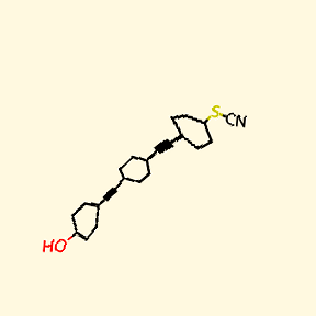 N#CSC1CCC(C#CC2CCC(C#CC3CCC(O)CC3)CC2)CC1